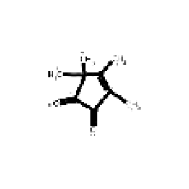 CC1=C(C)C(C)(C)C(=O)C1=O